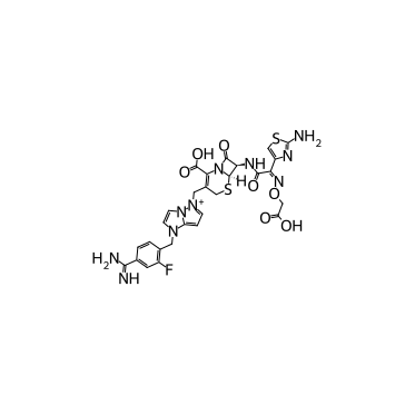 N=C(N)c1ccc(Cn2ccn3c2cc[n+]3CC2=C(C(=O)O)N3C(=O)[C@@H](NC(=O)/C(=N\OCC(=O)O)c4csc(N)n4)[C@H]3SC2)c(F)c1